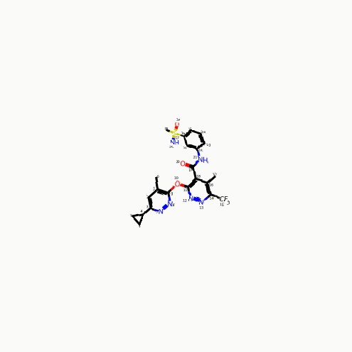 Cc1cc(C2CC2)nnc1Oc1nnc(C(F)(F)F)c(C)c1C(=O)Nc1cccc(S(C)(=N)=O)c1